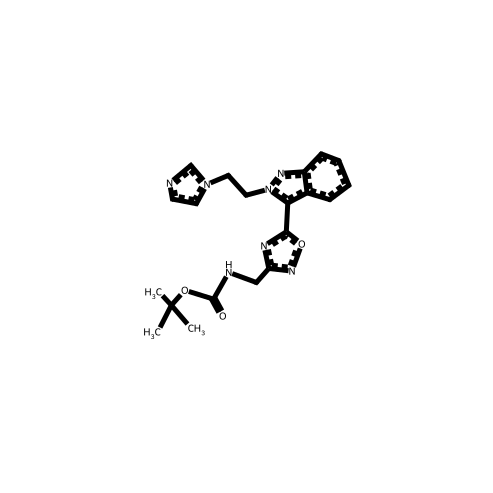 CC(C)(C)OC(=O)NCc1noc(-c2c3ccccc3nn2CCn2ccnc2)n1